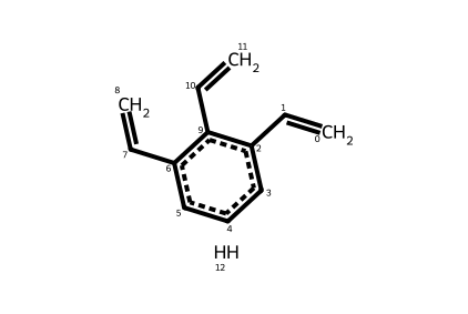 C=Cc1cccc(C=C)c1C=C.[HH]